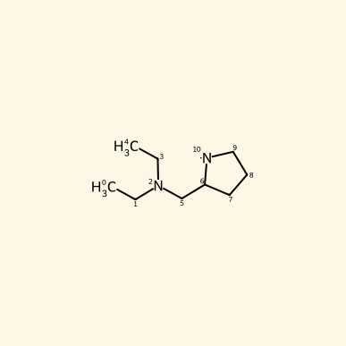 CCN(CC)CC1CCC[N]1